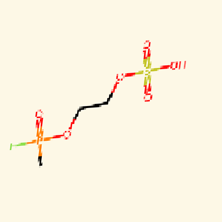 CP(=O)(F)OCCOS(=O)(=O)O